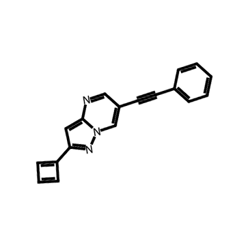 C(#Cc1cnc2cc(C3=CC=C3)nn2c1)c1ccccc1